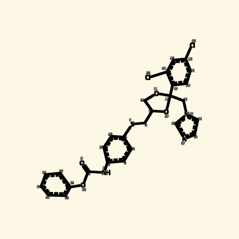 O=C(Nc1ccc(SCC2COC(Cn3ccnc3)(c3ccc(Cl)cc3Cl)O2)cc1)Oc1ccccc1